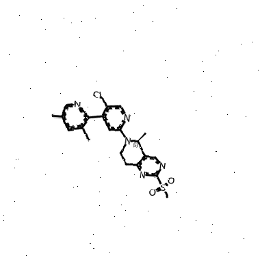 Cc1cnc(-c2cc(N3CCc4nc(S(C)(=O)=O)ncc4[C@@H]3C)ncc2Cl)c(C)c1